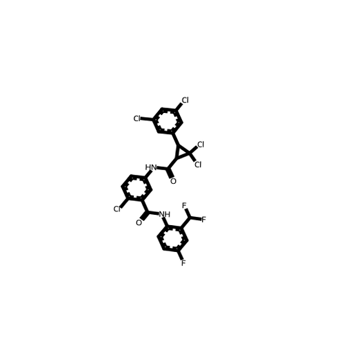 O=C(Nc1ccc(F)cc1C(F)F)c1cc(NC(=O)C2C(c3cc(Cl)cc(Cl)c3)C2(Cl)Cl)ccc1Cl